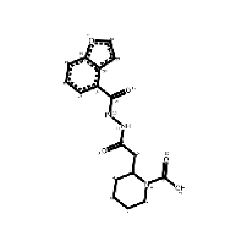 O=C(CC1CCCCN1C(=O)O)NNC(=O)c1cccc2occc12